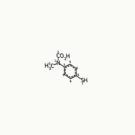 CN(C(=O)O)c1ccc(S)cc1